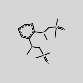 CP(CP(C)(C)=S)c1ccccc1P(C)CP(C)(C)=S